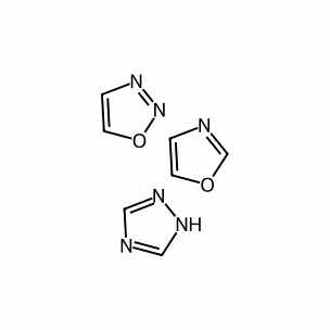 c1cocn1.c1conn1.c1nc[nH]n1